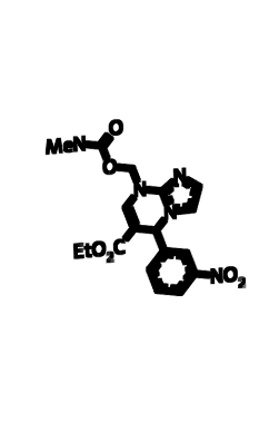 CCOC(=O)C1=CN(COC(=O)NC)c2nccn2C1c1cccc([N+](=O)[O-])c1